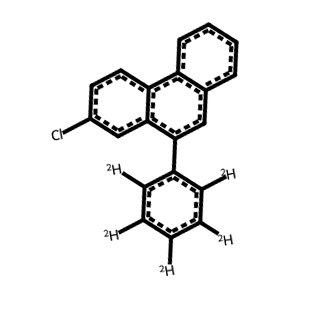 [2H]c1c([2H])c([2H])c(-c2cc3ccccc3c3ccc(Cl)cc23)c([2H])c1[2H]